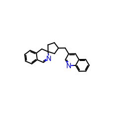 C1=NC2(CCC(Cc3cnc4ccccc4c3)C2)Cc2ccccc21